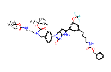 CC(C)(C)OC(=O)NCCCN(Cc1ccc(-n2cc3cc(-c4cc(CCCCNC(=O)OCc5ccccc5)cc(OC(F)(F)F)c4)[nH]c3nc2=O)cc1)C(=O)OC(C)(C)C